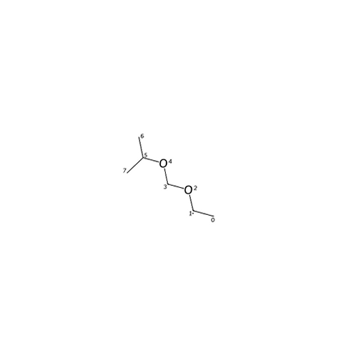 C[CH]OCOC(C)C